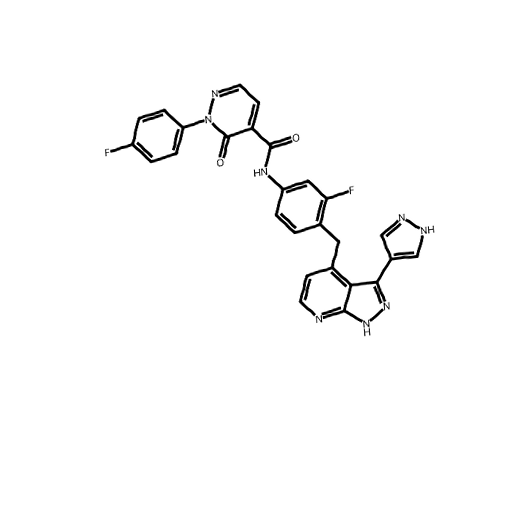 O=C(Nc1ccc(Cc2ccnc3[nH]nc(-c4cn[nH]c4)c23)c(F)c1)c1ccnn(-c2ccc(F)cc2)c1=O